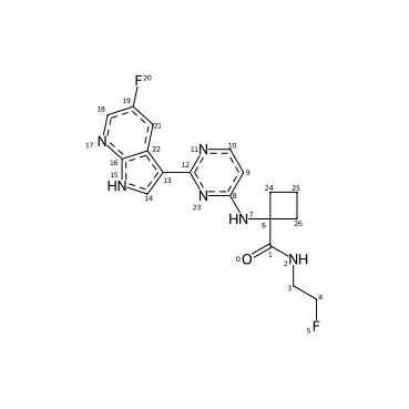 O=C(NCCF)C1(Nc2ccnc(-c3c[nH]c4ncc(F)cc34)n2)CCC1